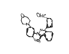 O=Cc1cccc(-c2nn(-c3cc(N4CCOCC4)ccc3[N+](=O)[O-])c(=O)c3ccccc23)c1